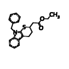 CCOC(=O)CC1CCc2c(n(Cc3ccccc3)c3ccccc23)S1